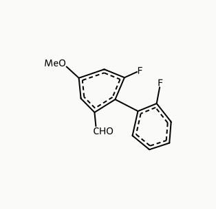 COc1cc(F)c(-c2ccccc2F)c(C=O)c1